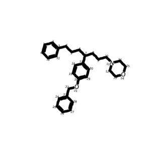 c1ccc(CCCC(CCCN2CCOCC2)c2ccc(OCc3ccccc3)cc2)cc1